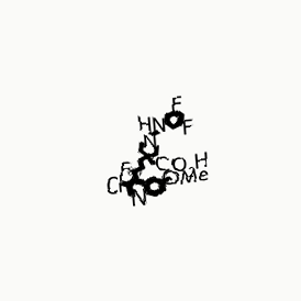 COc1ccc2ncc(Cl)c([C@@H](F)CCC3(CC(=O)O)CCN(CCNc4cc(F)cc(F)c4)CC3)c2c1